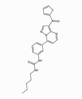 CCCCCNC(=O)Nc1cccc(-c2ccnc3c(C(=O)c4cccs4)cnn23)c1